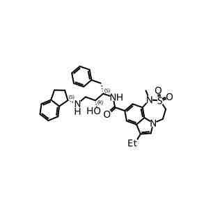 CCc1cn2c3c(cc(C(=O)N[C@@H](Cc4ccccc4)[C@H](O)CN[C@H]4CCc5ccccc54)cc13)N(C)S(=O)(=O)CC2